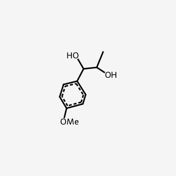 COc1ccc(C(O)C(C)O)cc1